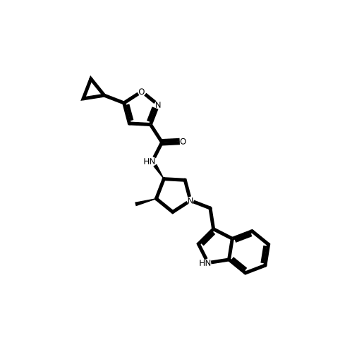 C[C@@H]1CN(Cc2c[nH]c3ccccc23)C[C@@H]1NC(=O)c1cc(C2CC2)on1